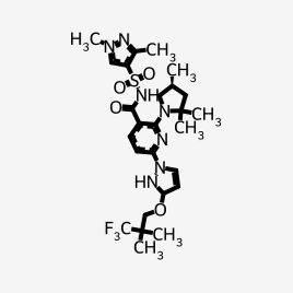 Cc1nn(C)cc1S(=O)(=O)NC(=O)c1ccc(N2C=CC(OCC(C)(C)C(F)(F)F)N2)nc1N1C[C@@H](C)CC1(C)C